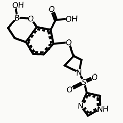 O=C(O)c1c(OC2CN(S(=O)(=O)c3c[nH]cn3)C2)ccc2c1OB(O)CC2